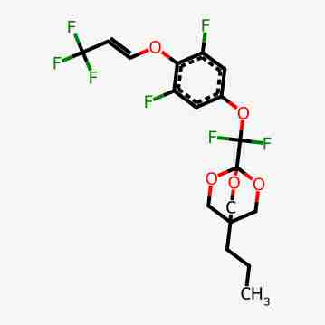 CCCC12COC(C(F)(F)Oc3cc(F)c(O/C=C/C(F)(F)F)c(F)c3)(OC1)OC2